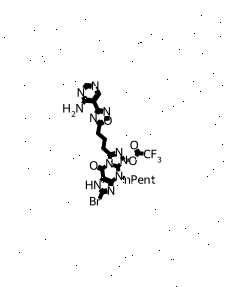 CCCCCN1c2nc(Br)[nH]c2C(=O)N2C(CCCc3nc(-c4cncnc4N)no3)=NN(OC(=O)C(F)(F)F)C21